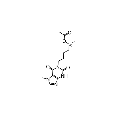 CC(=O)O[C@H](C)CCCCn1c(=O)[nH]c2ncn(C)c2c1=O